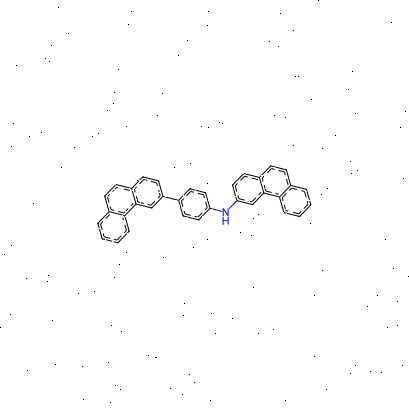 c1ccc2c(c1)ccc1ccc(Nc3ccc(-c4ccc5ccc6ccccc6c5c4)cc3)cc12